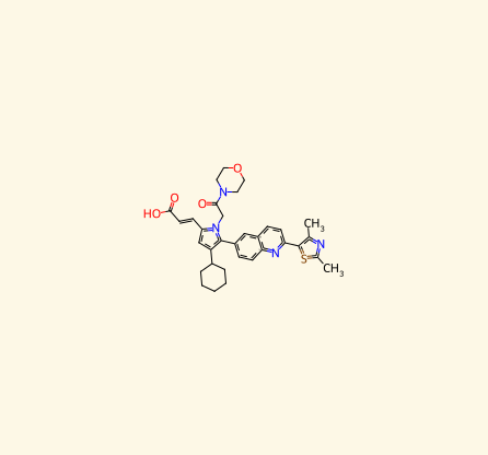 Cc1nc(C)c(-c2ccc3cc(-c4c(C5CCCCC5)cc(C=CC(=O)O)n4CC(=O)N4CCOCC4)ccc3n2)s1